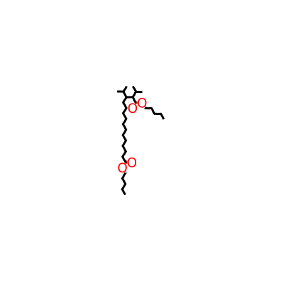 CCCCCOC(=O)CCCCCCCCCCCC(C(C)C)C(C(=O)OCCCCC)C(C)C